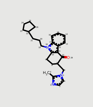 Cc1nccn1CC1CCc2c(c3ccccc3n2CCCC2CCCC2)C1=O